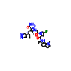 C=C/C(=C\c1c(C(N)=O)nn(CC(=O)N2CC(F)CC2C(=O)NC2(c3ccc4ccn(C)c4c3)CC2)c1C)c1ccnnc1